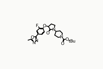 Cc1nnc(-c2ccc(OC3CCN(C4CCN(C(=O)OC(C)(C)C)CC4)C3=O)c(F)c2)o1